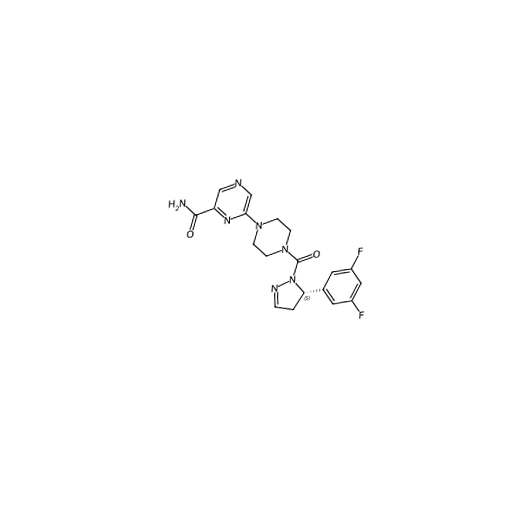 NC(=O)c1cncc(N2CCN(C(=O)N3N=CC[C@H]3c3cc(F)cc(F)c3)CC2)n1